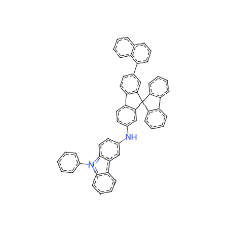 c1ccc(-n2c3ccccc3c3cc(Nc4ccc5c(c4)C4(c6ccccc6-c6ccccc64)c4cc(-c6cccc7ccccc67)ccc4-5)ccc32)cc1